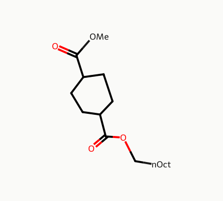 CCCCCCCCCOC(=O)C1CCC(C(=O)OC)CC1